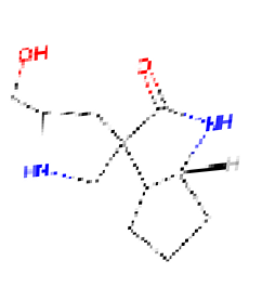 O=C1N[C@@H]2CCCC2C12CNC(CO)C2